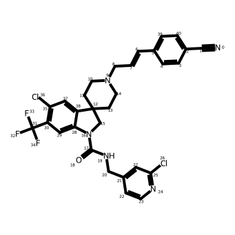 N#Cc1ccc(C=CCN2CCC3(CC2)CN(C(=O)NCc2ccnc(Cl)c2)c2cc(C(F)(F)F)c(Cl)cc23)cc1